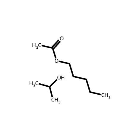 CC(C)O.CCCCCOC(C)=O